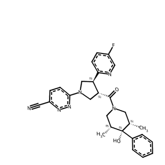 C[C@@H]1CN(C(=O)[C@@H]2CN(c3ccc(C#N)nn3)C[C@H]2c2ccc(F)cn2)C[C@H](C)[C@@]1(O)c1ccccc1